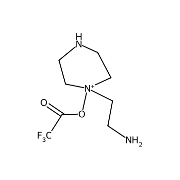 NCC[N+]1(OC(=O)C(F)(F)F)CCNCC1